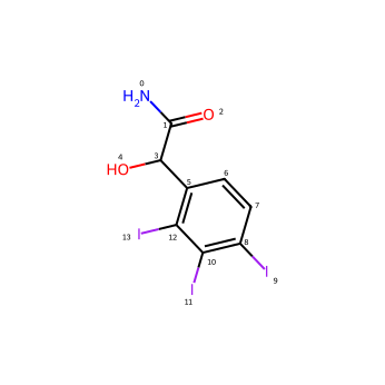 NC(=O)C(O)c1ccc(I)c(I)c1I